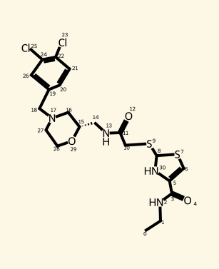 CCNC(=O)C1=CSC(SCC(=O)NC[C@H]2CN(Cc3ccc(Cl)c(Cl)c3)CCO2)N1